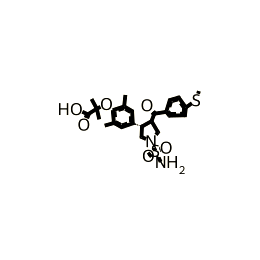 CSc1ccc(C(=O)C2CN(S(N)(=O)=O)C[C@@H]2c2cc(C)c(OC(C)(C)C(=O)O)c(C)c2)cc1